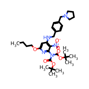 CCCCOc1cc(NCc2ccc(CN3CCCC3)cc2)c([N+](=O)[O-])c(N(C(=O)OC(C)(C)C)C(=O)OC(C)(C)C)n1